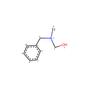 CCN(CO)Cc1ccccc1